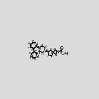 O=C(O)N1CC2(CCC(N3CCN(c4ncccc4-c4cncnc4)CC3)C2)C1